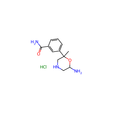 CC1(c2cccc(C(N)=O)c2)CNCC(N)O1.Cl